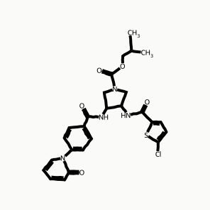 CC(C)COC(=O)N1CC(NC(=O)c2ccc(-n3ccccc3=O)cc2)C(NC(=O)c2ccc(Cl)s2)C1